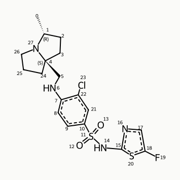 C[C@@H]1CC[C@]2(CNc3ccc(S(=O)(=O)Nc4ncc(F)s4)cc3Cl)CCCN12